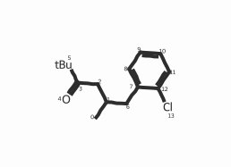 CC(CC(=O)C(C)(C)C)Cc1ccccc1Cl